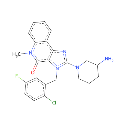 Cn1c(=O)c2c(nc(N3CCCC(N)C3)n2Cc2cc(F)ccc2Cl)c2ccccc21